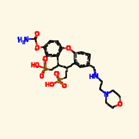 NC(=O)Oc1ccc2c(c1)C(CS(=O)(=O)O)C(CS(=O)(=O)O)c1cc(CNCCN3CCOCC3)ccc1O2